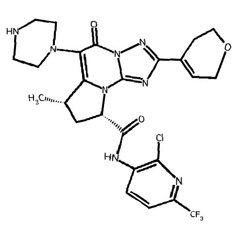 C[C@H]1C[C@@H](C(=O)Nc2ccc(C(F)(F)F)nc2Cl)n2c1c(N1CCNCC1)c(=O)n1nc(C3=CCOCC3)nc21